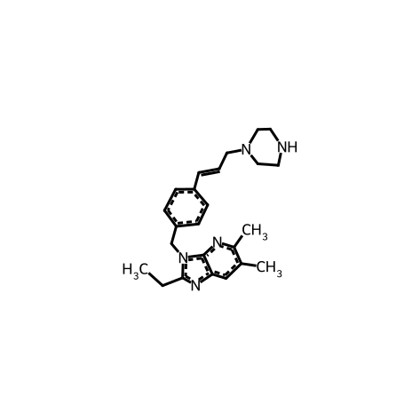 CCc1nc2cc(C)c(C)nc2n1Cc1ccc(C=CCN2CCNCC2)cc1